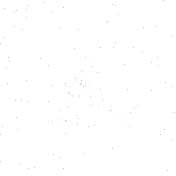 O=C(O)CCCNC(=O)/C(=C/c1ccc(C2CC2)cc1)NC(=O)c1ccc(OCCC2CC2)cc1